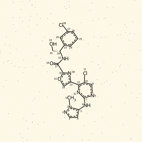 Cn1nccc1Nc1ncc(Cl)c(-c2coc(C(=O)N[C@H](CO)c3cccc(Cl)c3)n2)n1